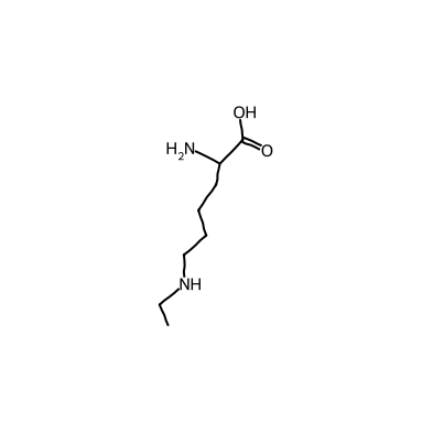 CCNCCCCC(N)C(=O)O